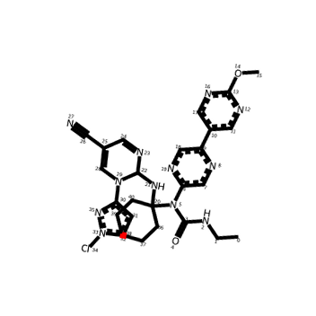 CCNC(=O)N(c1cnc(-c2cnc(OC)nc2)cn1)C1(NC2N=CC(C#N)=CN2c2ccn(Cl)n2)CCCCC1